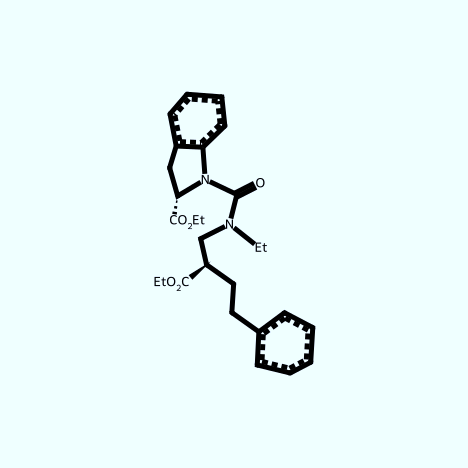 CCOC(=O)[C@H](CCc1ccccc1)CN(CC)C(=O)N1c2ccccc2C[C@H]1C(=O)OCC